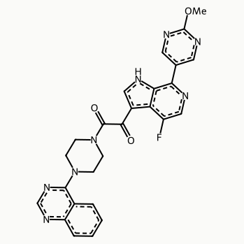 COc1ncc(-c2ncc(F)c3c(C(=O)C(=O)N4CCN(c5ncnc6ccccc56)CC4)c[nH]c23)cn1